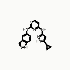 c1cc(Nc2cc(C3CC3)[nH]n2)nc(Nc2ccc3[nH]ncc3c2)n1